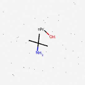 CC(C)(C)N.CCCO